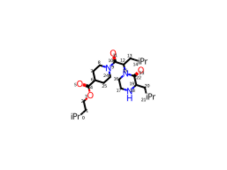 CC(C)CCOC(=O)C1CCN(C(=O)C(CC(C)C)N2CCNC(CC(C)C)C2=O)CC1